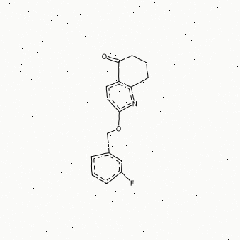 O=C1CCCc2nc(OCc3cccc(F)c3)ccc21